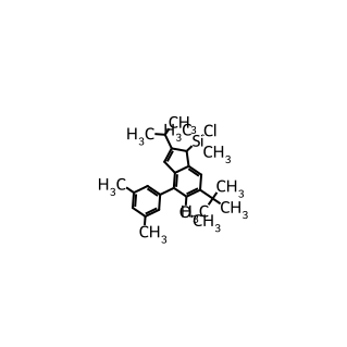 COc1c(C(C)(C)C)cc2c(c1-c1cc(C)cc(C)c1)C=C(C(C)C)C2[Si](C)(C)Cl